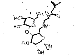 C=C(C)C(=O)NCCNC[C@H]1O[C@H](O)[C@H](O)[C@@H](O)[C@@H]1O[C@H]1O[C@H](CO)[C@@H](C)[C@H](O)[C@H]1O